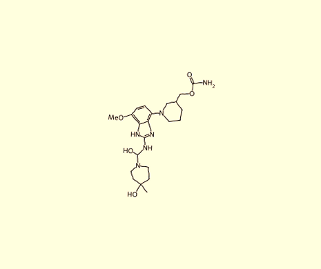 COc1ccc(N2CCCC(COC(N)=O)C2)c2nc(NC(O)N3CCC(C)(O)CC3)[nH]c12